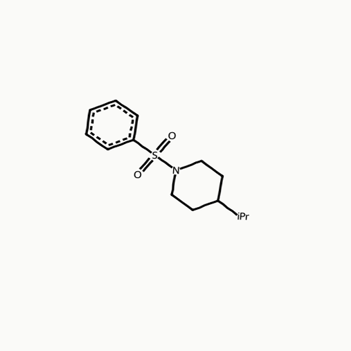 CC(C)C1CCN(S(=O)(=O)c2ccccc2)CC1